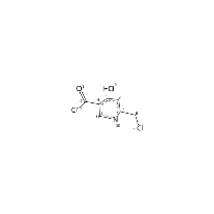 Cl.O=C(Cl)c1ccc(CCl)nc1